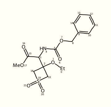 CCOC1(C(NC(=O)OCc2ccccc2)C(=O)OC)CS(=O)(=O)C1